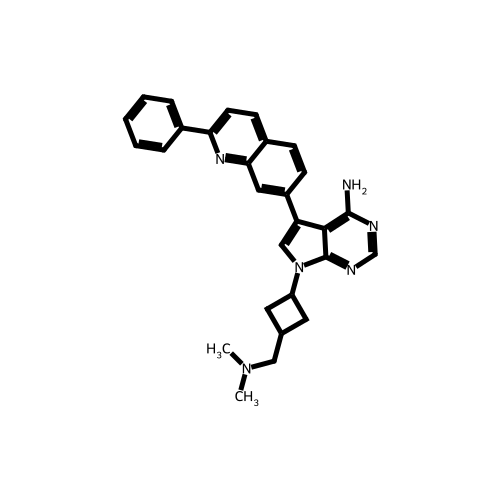 CN(C)CC1CC(n2cc(-c3ccc4ccc(-c5ccccc5)nc4c3)c3c(N)ncnc32)C1